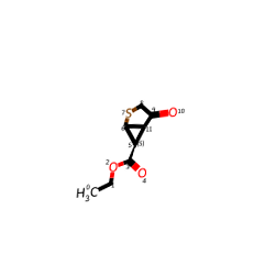 CCOC(=O)[C@H]1C2SCC(=O)C21